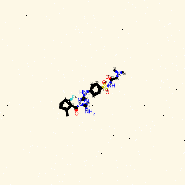 Cc1cccc(F)c1C(=O)n1nc(Nc2ccc(S(=O)(=O)NC(=O)CN(C)C)cc2)nc1N